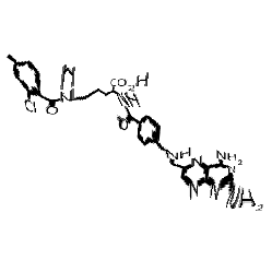 Cc1ccc(C(=O)NCCC[C@H](NC(=O)c2ccc(NCc3cnc4nc(N)nc(N)c4n3)cc2)C(=O)O)c(Cl)c1